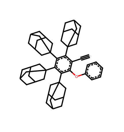 [C]#Cc1c(Oc2ccccc2)c(C23CC4CC(CC(C4)C2)C3)c(C23CC4CC(CC(C4)C2)C3)c(C23CC4CC(CC(C4)C2)C3)c1C12CC3CC(CC(C3)C1)C2